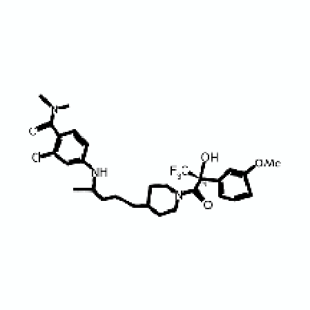 COc1cccc([C@@](O)(C(=O)N2CCC(CCCC(C)Nc3ccc(C(=O)N(C)C)c(Cl)c3)CC2)C(F)(F)F)c1